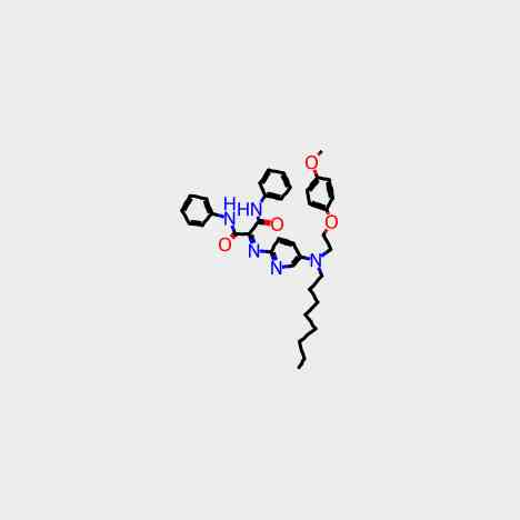 CCCCCCCCN(CCOc1ccc(OC)cc1)c1ccc(N=C(C(=O)Nc2ccccc2)C(=O)Nc2ccccc2)nc1